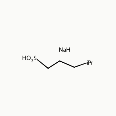 CC(C)CCCS(=O)(=O)O.[NaH]